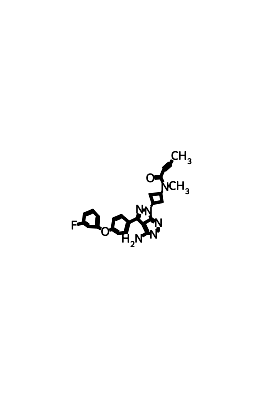 CC#CC(=O)N(C)[C@H]1C[C@@H](n2nc(-c3ccc(Oc4cccc(F)c4)cc3)c3c(N)ncnc32)C1